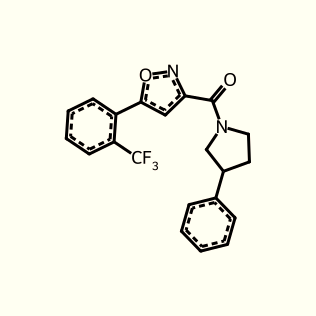 O=C(c1cc(-c2ccccc2C(F)(F)F)on1)N1CCC(c2ccccc2)C1